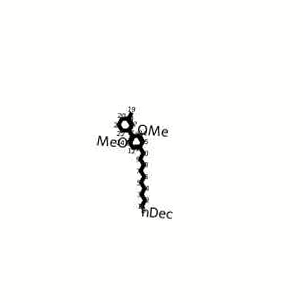 CCCCCCCCCCCCCCCCCCCCc1cc(OC)c(C2C=C(C)CCC2)c(OC)c1